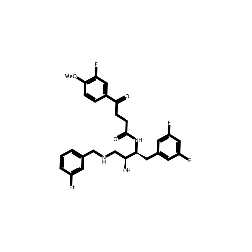 CCc1cccc(CNC[C@H](O)[C@H](Cc2cc(F)cc(F)c2)NC(=O)CCC(=O)c2ccc(OC)c(F)c2)c1